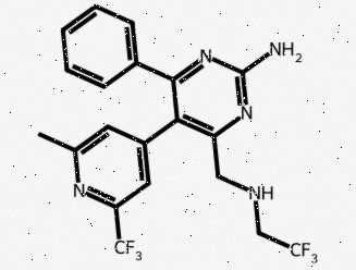 Cc1cc(-c2c(CNCC(F)(F)F)nc(N)nc2-c2ccccc2)cc(C(F)(F)F)n1